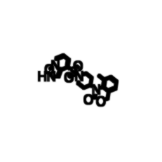 Cc1cccc2c1N(C1CCN(S(=O)(=O)C3=CC=CN4ONC=C34)CC1)C(=O)OC2